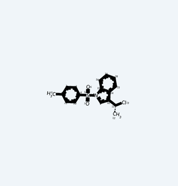 Cc1ccc(S(=O)(=O)n2cc([C@@H](C)Cl)c3ccccc32)cc1